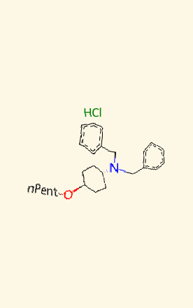 CCCCCO[C@H]1CC[C@H](N(Cc2ccccc2)Cc2ccccc2)CC1.Cl